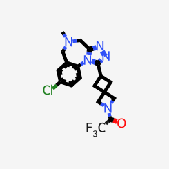 CN1Cc2cc(Cl)ccc2-n2c(nnc2C2CC3(C2)CN(C(=O)C(F)(F)F)C3)C1